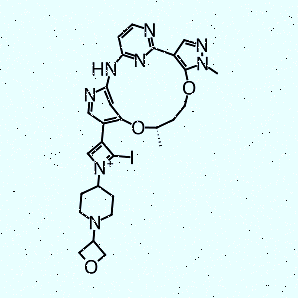 C[C@H]1CCOc2c(cnn2C)-c2nccc(n2)Nc2cc(c(C3=C[N+](C4CCN(C5COC5)CC4)=C3I)cn2)O1